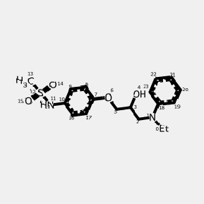 CCN(CC(O)COc1ccc(NS(C)(=O)=O)cc1)c1ccccc1